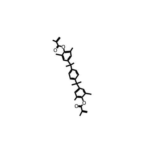 C=C(C)C(=O)Oc1c(C)cc(C(C)(C)c2ccc(C(C)(C)c3cc(C)c(OC(=O)C(=C)C)c(C)c3)cc2)cc1C